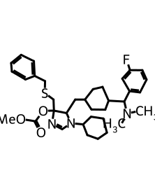 COC(=O)OC1(CSCc2ccccc2)N=CN(C2CCCCC2)C1CC1CCC(C(c2cccc(F)c2)N(C)C)CC1